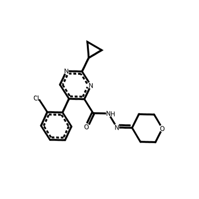 O=C(NN=C1CCOCC1)c1nc(C2CC2)ncc1-c1ccccc1Cl